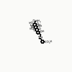 C[C@H]1c2ccc(Cc3nc(-c4cccc(C(=O)O)c4)cs3)c(O)c2C(=O)C2=C(O)[C@]3(O)C(=O)C(C(N)=O)=C(O)[C@@H](N(C)C)[C@@H]3[C@@H](O)[C@@H]21